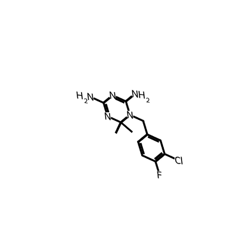 CC1(C)N=C(N)N=C(N)N1Cc1ccc(F)c(Cl)c1